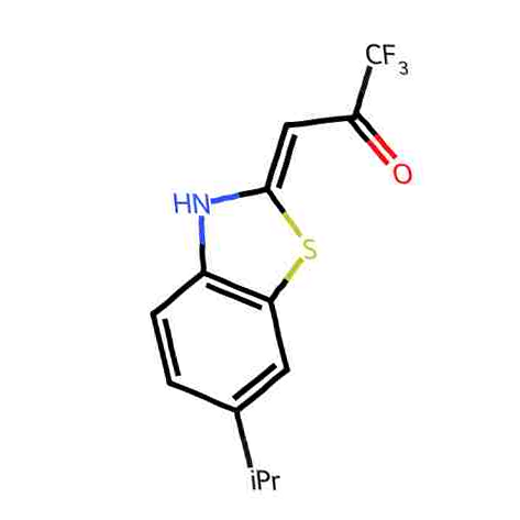 CC(C)c1ccc2c(c1)SC(=CC(=O)C(F)(F)F)N2